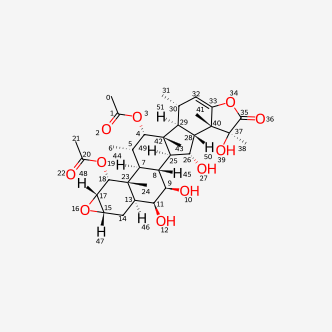 CC(=O)O[C@H]1[C@@H](C)[C@H]2[C@@H]([C@@H](O)[C@@H](O)[C@H]3C[C@@H]4O[C@@H]4[C@H](OC(C)=O)[C@]23C)[C@@H]2[C@@H](O)[C@@H]3[C@H]([C@H](C)C=C4OC(=O)[C@@](C)(O)[C@@]43C)[C@]21C